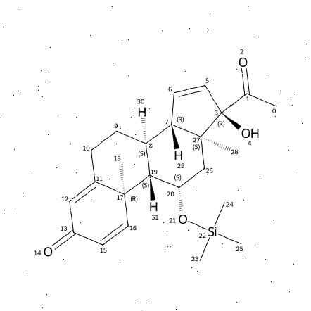 CC(=O)[C@@]1(O)C=C[C@H]2[C@@H]3CCC4=CC(=O)C=C[C@]4(C)[C@H]3[C@@H](O[Si](C)(C)C)C[C@@]21C